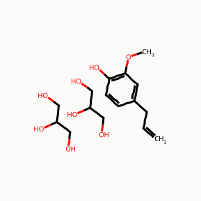 C=CCc1ccc(O)c(OC)c1.OCC(O)CO.OCC(O)CO